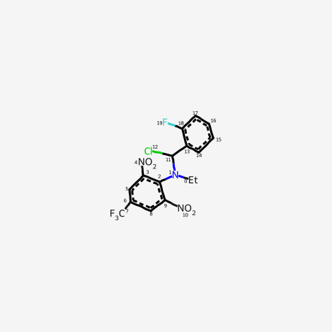 CCN(c1c([N+](=O)[O-])cc(C(F)(F)F)cc1[N+](=O)[O-])C(Cl)c1ccccc1F